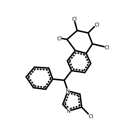 Clc1cn(C(c2ccccc2)c2ccc3c(c2)C(Cl)C(Cl)C(Cl)C3Cl)cn1